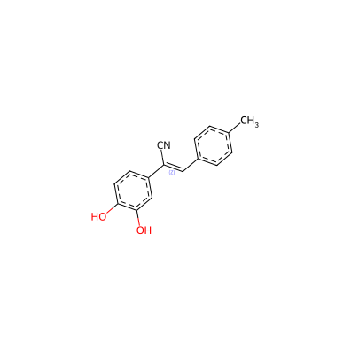 Cc1ccc(/C=C(\C#N)c2ccc(O)c(O)c2)cc1